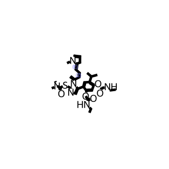 C=C(/C=C\C=C1/CC=CN1C)n1c(-c2cc(C(C)C)c(OC(=O)NCC)cc2OC(=O)NCC)cnc1SC(=O)N(C)C